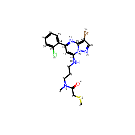 CSCC(=O)N(C)CCCNc1cc(-c2ccccc2Cl)nc2c(Br)cnn12